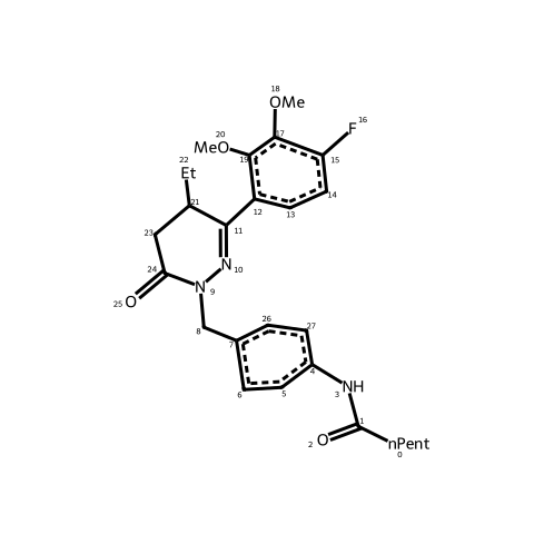 CCCCCC(=O)Nc1ccc(CN2N=C(c3ccc(F)c(OC)c3OC)C(CC)CC2=O)cc1